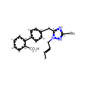 CC=CCn1nc(C(C)CC)nc1Cc1ccc(-c2ccccc2C(=O)O)cc1